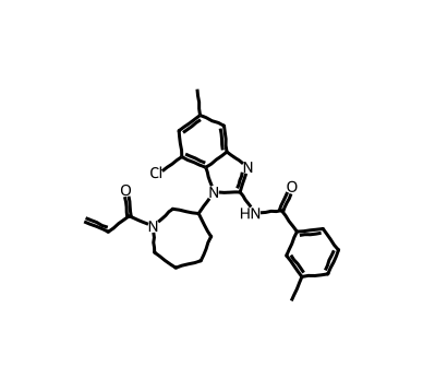 C=CC(=O)N1CCCCC(n2c(NC(=O)c3cccc(C)c3)nc3cc(C)cc(Cl)c32)C1